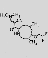 C=C1/C=C(OCC(F)F)\C(C)=C/CN/C(C(=O)/C(C#N)=C/N(C)C)=C\C1